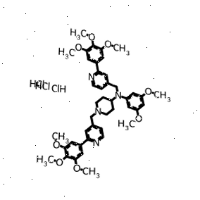 COc1cc(OC)cc(N(Cc2ccnc(-c3cc(OC)c(OC)c(OC)c3)c2)C2CCN(Cc3ccnc(-c4cc(OC)c(OC)c(OC)c4)c3)CC2)c1.Cl.Cl.Cl